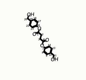 O=C(CCC(=O)Oc1ccc(CO)cc1)Oc1ccc(CO)cc1